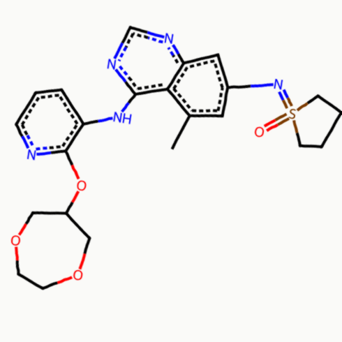 Cc1cc(N=S2(=O)CCCC2)cc2ncnc(Nc3cccnc3OC3COCCOC3)c12